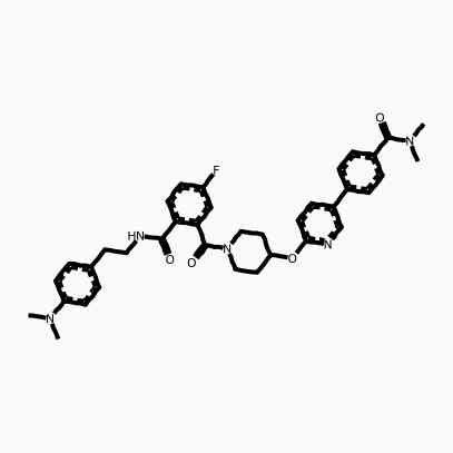 CN(C)C(=O)c1ccc(-c2ccc(OC3CCN(C(=O)c4cc(F)ccc4C(=O)NCCc4ccc(N(C)C)cc4)CC3)nc2)cc1